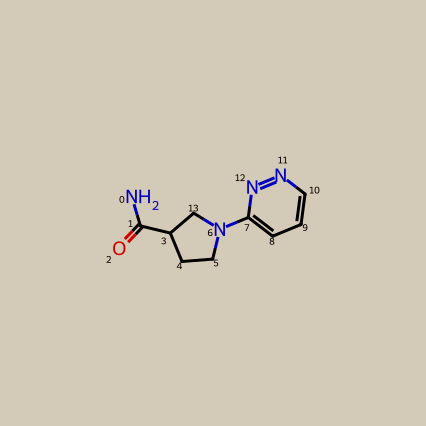 NC(=O)C1CCN(c2cccnn2)C1